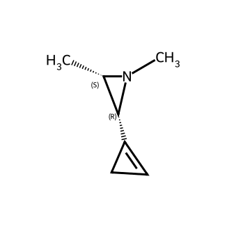 C[C@H]1[C@@H](C2=CC2)N1C